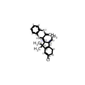 C=C1Sc2ccccc2S/C1=C1/C(=C\C)C2=C(C=C(Cl)CC2)C1(C)C